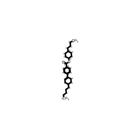 CCCCCC1CC=C(c2ccc(C(=O)OC3CCC(CCCC)CC3)cc2)CC1